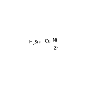 [Cu].[Ni].[SnH2].[Zr]